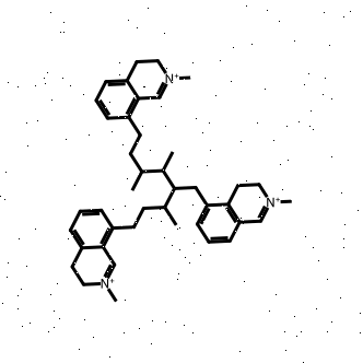 CC(CCc1cccc2c1C=[N+](C)CC2)C(C)C(Cc1cccc2c1CC[N+](C)=C2)C(C)CCc1cccc2c1C=[N+](C)CC2